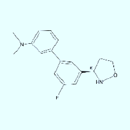 CN(C)c1cccc(-c2cc(F)cc([C@H]3CCON3)c2)c1